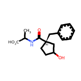 CC(NC(=O)[C@@]1(Cc2ccccc2)CCC(O)C1)C(=O)O